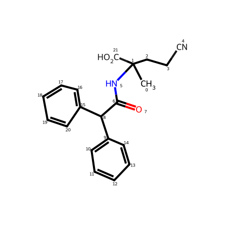 CC(CCC#N)(NC(=O)C(c1ccccc1)c1ccccc1)C(=O)O